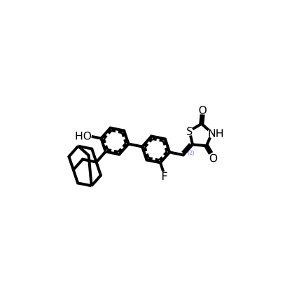 O=C1NC(=O)/C(=C/c2ccc(-c3ccc(O)c(C45CC6CC(CC(C6)C4)C5)c3)cc2F)S1